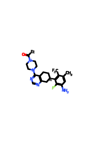 CCC(=O)N1CCN(c2ncnc3c2CC[C@@H](c2c(F)c(N)cc(C)c2C(F)(F)F)C3)CC1